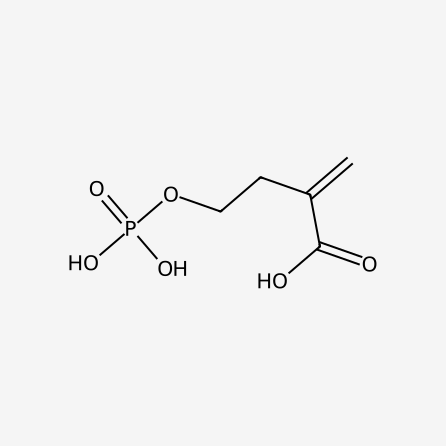 C=C(CCOP(=O)(O)O)C(=O)O